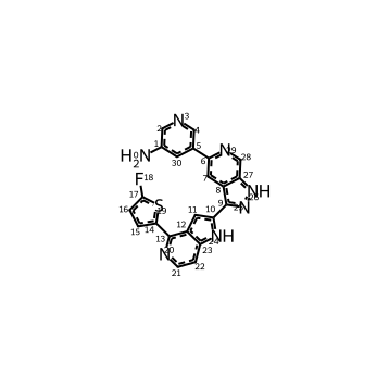 Nc1cncc(-c2cc3c(-c4cc5c(-c6ccc(F)s6)nccc5[nH]4)n[nH]c3cn2)c1